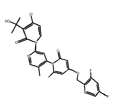 Cc1cnc(-n2ccc(Cl)c(C(C)(C)O)c2=O)cc1-n1c(C)cc(OCc2ncc(F)cc2F)cc1=O